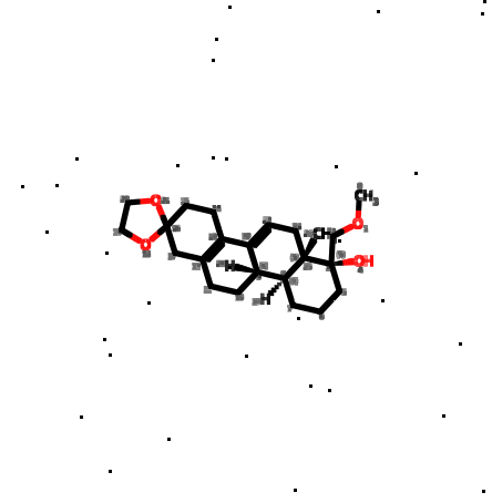 COC[C@]1(O)CCC[C@H]2[C@@H]3CCC4=C(CCC5(C4)OCCO5)C3=CC[C@@]21C